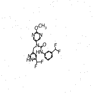 COc1ncc(N(Cc2cc(C(F)F)[nH]n2)C(=O)Nc2cccc(C(F)F)c2)cn1